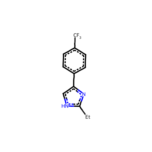 CCc1nc(-c2ccc(C(F)(F)F)cc2)c[nH]1